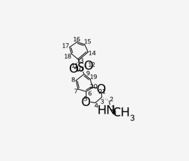 CNC[C@@H]1COc2ccc(S(=O)(=O)c3ccccc3)cc2O1